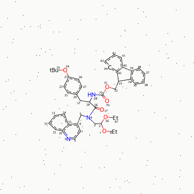 CCOC(CN(Cc1ccnc2ccccc12)C(=O)C(Cc1ccc(OC(C)(C)C)cc1)NC(=O)OCC1c2ccccc2-c2ccccc21)OCC